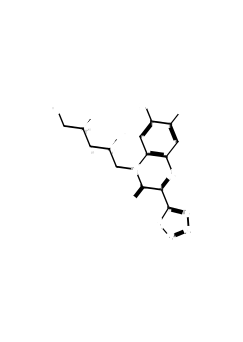 Cc1cc2nc(-c3nnn[nH]3)c(=O)n(C[C@H](O)[C@H](O)[C@H](O)CO)c2cc1C